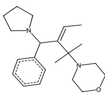 CC=C(C(c1ccccc1)N1CCCC1)C(C)(C)N1CCOCC1